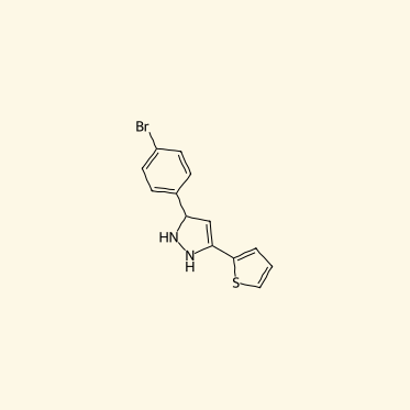 Brc1ccc(C2C=C(c3cccs3)NN2)cc1